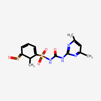 Cc1cc(C)nc(NC(=O)NS(=O)(=O)C2=CC=CC(=S=O)C2C)n1